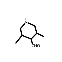 CC1CNCC(C)C1C=O